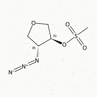 CS(=O)(=O)O[C@@H]1COC[C@H]1N=[N+]=[N-]